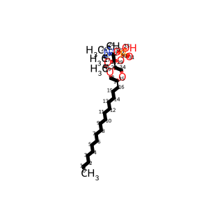 CCCCCCCCCCCCCCCCC[C@H]1CO[C@@H](C(C[N+](C)(C)C)(OC)OP(=O)([O-])O)CO1